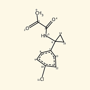 CC(=O)C(=O)NC1(c2ccc(Cl)cc2)CC1